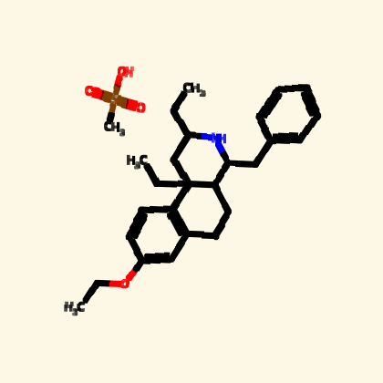 CCOc1ccc2c(c1)CCC1C(Cc3ccccc3)NC(CC)CC21CC.CS(=O)(=O)O